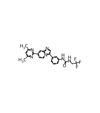 Cc1cc(C)nc(-c2ccn3c(-c4cccc(NC(=O)NCC(F)(F)F)c4)cnc3c2)n1